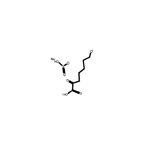 O=C(O)C(=O)CCCCCCl.O=S([O-])O.[Na+]